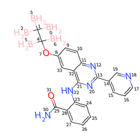 BC(B)(B)C(B)(B)Oc1ccc2nc(-c3cccnc3)nc(Nc3ccccc3C(N)=O)c2c1